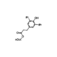 CCCCCCCCOC(=O)CCc1cc(C(C)C)c(O)c(C(C)C)c1